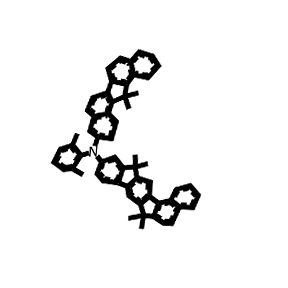 Cc1cccc(C)c1N(c1ccc2c(c1)C(C)(C)c1cc3c(cc1-2)C(C)(C)c1ccc2ccccc2c1-3)c1ccc2c3c(ccc2c1)-c1ccc2ccccc2c1C3(C)C